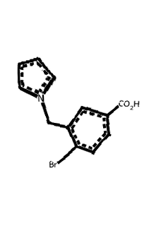 O=C(O)c1ccc(Br)c(Cn2cccc2)c1